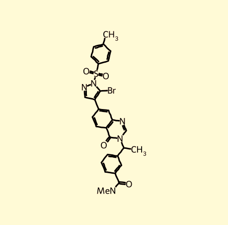 CNC(=O)c1cccc(C(C)n2cnc3cc(-c4cnn(S(=O)(=O)c5ccc(C)cc5)c4Br)ccc3c2=O)c1